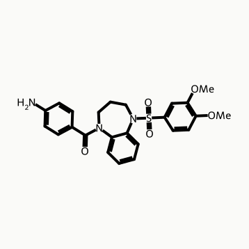 COc1ccc(S(=O)(=O)N2CCCN(C(=O)c3ccc(N)cc3)c3ccccc32)cc1OC